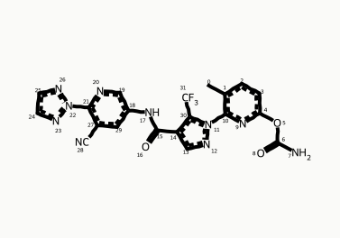 Cc1ccc(OC(N)=O)nc1-n1ncc(C(=O)Nc2cnc(-n3nccn3)c(C#N)c2)c1C(F)(F)F